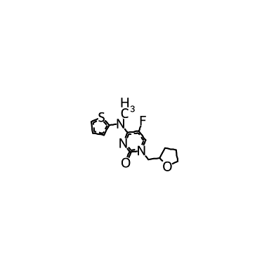 CN(c1cccs1)c1nc(=O)n(CC2CCCO2)cc1F